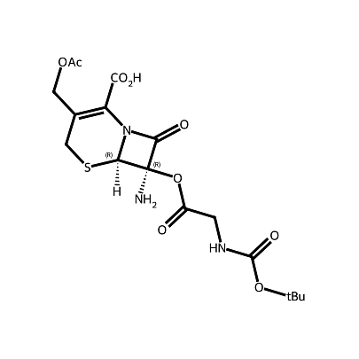 CC(=O)OCC1=C(C(=O)O)N2C(=O)[C@@](N)(OC(=O)CNC(=O)OC(C)(C)C)[C@H]2SC1